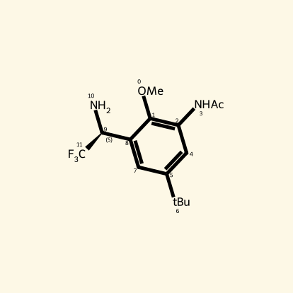 COc1c(NC(C)=O)cc(C(C)(C)C)cc1[C@H](N)C(F)(F)F